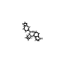 c1cn2nc(C3Nc4ccc5[nH]ncc5c4C4C5CCC(C5)C34)ccc2n1